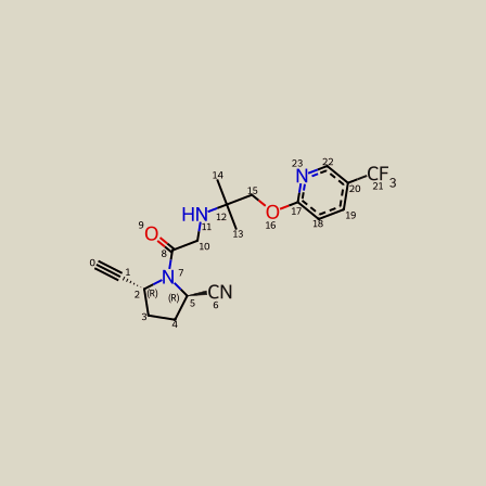 C#C[C@H]1CC[C@H](C#N)N1C(=O)CNC(C)(C)COc1ccc(C(F)(F)F)cn1